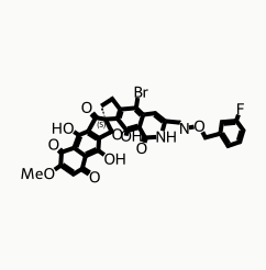 COC1=CC(=O)c2c(O)c3c(c(O)c2C1=O)C(=O)[C@]1(CCc2c1c(O)c1c(=O)[nH]c(C=NOCc4cccc(F)c4)cc1c2Br)C3=O